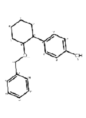 Oc1ccc(C2CCCCC2OCc2ccccc2)cc1